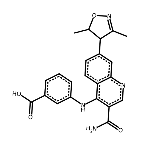 CC1=NOC(C)C1c1ccc2c(Nc3cccc(C(=O)O)c3)c(C(N)=O)cnc2c1